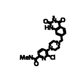 CNC(=O)c1ccc(N2CCN(Cc3ccc4c(=O)n(C)c(=O)[nH]c4c3)CC2)c(Cl)n1